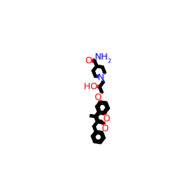 Cc1c(Cc2ccccc2)c(=O)oc2ccc(OCC(O)CN3CCC(C(N)=O)CC3)cc12